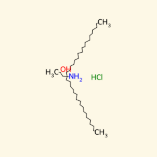 CCCCCCCCCCCCCCCCCCC(N)(CCCCCCCCCCCCCCCCCC)CC(C)O.Cl